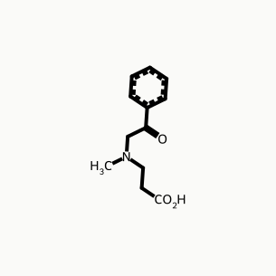 CN(CCC(=O)O)CC(=O)c1ccccc1